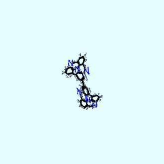 N#Cc1cccc(C#N)c1-n1c2ccccc2c2cc(-c3ccc4c(c3)c3ccccc3n4-c3c(C#N)cccc3C#N)ccc21